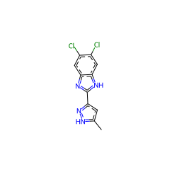 Cc1cc(-c2nc3cc(Cl)c(Cl)cc3[nH]2)n[nH]1